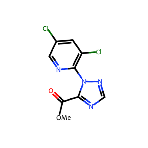 COC(=O)c1ncnn1-c1ncc(Cl)cc1Cl